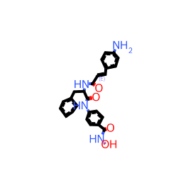 Nc1ccc(/C=C/C(=O)NC(Cc2ccccc2)C(=O)Nc2ccc(C(=O)NO)cc2)cc1